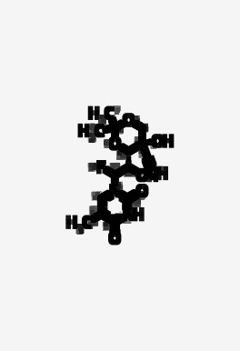 C#C[C@@]1(O)COC(C)(C)O[C@H]1C(O)C(F)n1cc(C)c(=O)[nH]c1=O